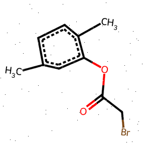 Cc1ccc(C)c(OC(=O)CBr)c1